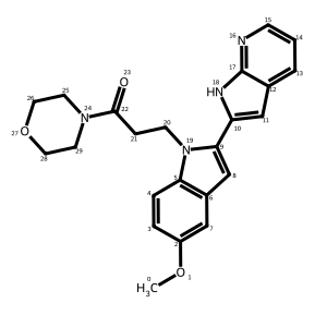 COc1ccc2c(c1)cc(-c1cc3cccnc3[nH]1)n2CCC(=O)N1CCOCC1